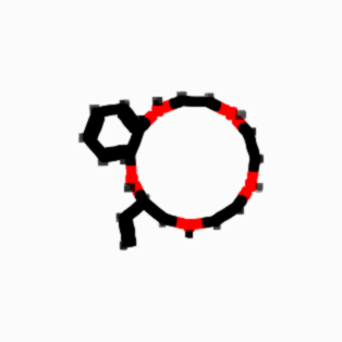 C=CC1COCCOCCOCCOc2ccccc2O1